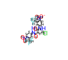 O=C(Nc1ccc([N+](=O)[O-])c(C(F)(F)F)c1)C(CCCl)C(=O)Nc1ccc([N+](=O)[O-])c(C(F)(F)F)c1